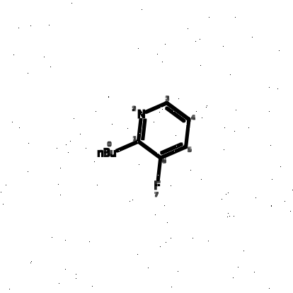 CCCCc1ncccc1F